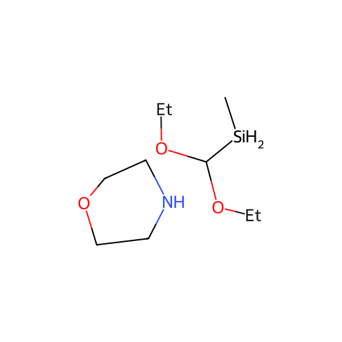 C1COCCN1.CCOC(OCC)[SiH2]C